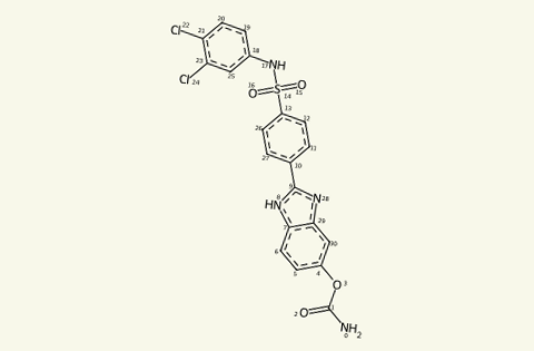 NC(=O)Oc1ccc2[nH]c(-c3ccc(S(=O)(=O)Nc4ccc(Cl)c(Cl)c4)cc3)nc2c1